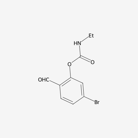 CCNC(=O)Oc1cc(Br)ccc1C=O